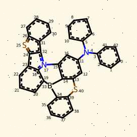 c1ccc(N(c2ccccc2)c2cc3c4c(c2)-n2c5c(cccc5c5sc6ccccc6c52)B4c2ccccc2S3)cc1